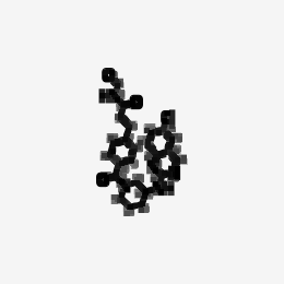 O=CNC(=O)C=Cc1ccc(C(=O)N2CCC[C@H](Nc3ncc4cc(Cl)ccc4n3)C2)cc1